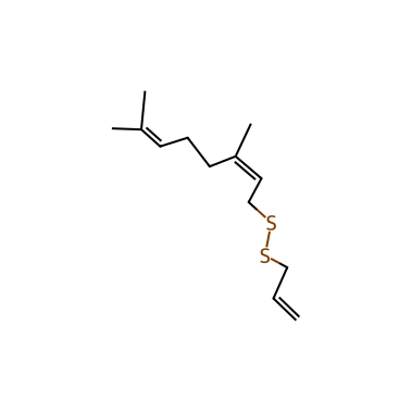 C=CCSSCC=C(C)CCC=C(C)C